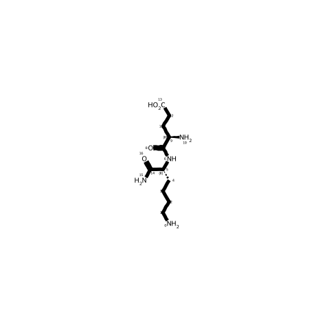 NCCCC[C@@H](NC(=O)[C@H](N)CCC(=O)O)C(N)=O